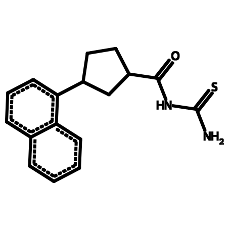 NC(=S)NC(=O)C1CCC(c2cccc3ccccc23)C1